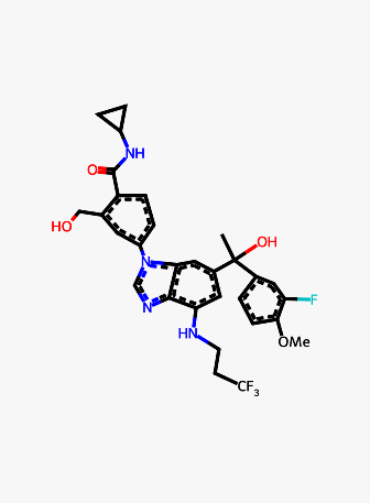 COc1ccc(C(C)(O)c2cc(NCCC(F)(F)F)c3ncn(-c4ccc(C(=O)NC5CC5)c(CO)c4)c3c2)cc1F